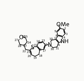 COc1ccc2[nH]c3c(c2c1)CN(c1ccc2c(c1)CCC=C(CC1CCOCC1)S2)CC3